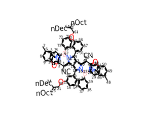 [C-]#[N+]/C(c1nc2cc(C)ccc2o1)=c1\c2c(-c3cccc(OCC(CCCCCCCC)CCCCCCCCCC)c3)n(B(c3ccccc3)c3ccccc3)/c(=C(/C#N)c3nc4cc(C)ccc4o3)c2c(-c2cccc(OCC(CCCCCCCC)CCCCCCCCCC)c2)n1B(c1ccccc1)c1ccccc1